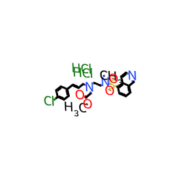 COC(=O)CN(CC=Cc1ccc(Cl)cc1)CCN(C)S(=O)(=O)c1cccc2cnccc12.Cl.Cl